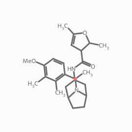 COc1ccc(C(C)N2C3CCC2CC(NC(=O)C2C=C(C)OC2C)C3)c(C)c1C